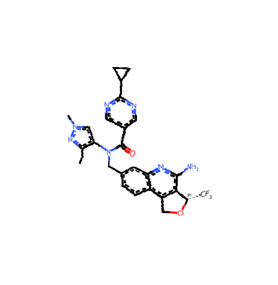 Cc1nn(C)cc1N(Cc1ccc2c3c(c(N)nc2c1)[C@H](C(F)(F)F)OC3)C(=O)c1cnc(C2CC2)nc1